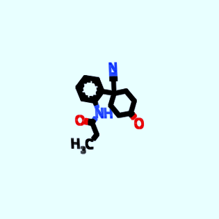 CCC(=O)Nc1ccccc1C1(C#N)CCC(=O)CC1